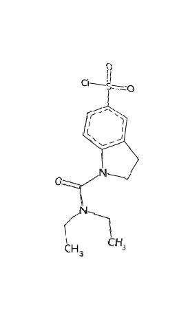 CCN(CC)C(=O)N1CCc2cc(S(=O)(=O)Cl)ccc21